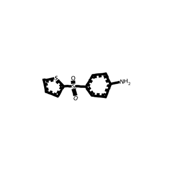 Nc1ccc(S(=O)(=O)c2cccs2)cc1